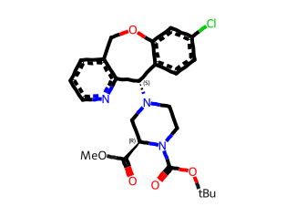 COC(=O)[C@H]1CN([C@H]2c3ccc(Cl)cc3OCc3cccnc32)CCN1C(=O)OC(C)(C)C